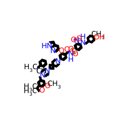 COc1cc(CN2CCN(C3CC4(CCN(c5ccc(C(=O)NS(=O)(=O)c6ccc(NCC7CCC(C)(O)CC7)c([N+](=O)[O-])c6)c(Oc6cnc7[nH]ccc7c6)c5)CC4)C3)[C@H](c3ccccc3C(C)C)C2)cc2c1OCC2(C)C